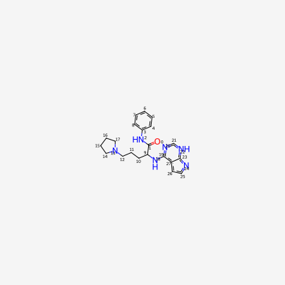 O=C(Nc1ccccc1)C(CCCN1CCCC1)Nc1nc[nH]c2nccc1-2